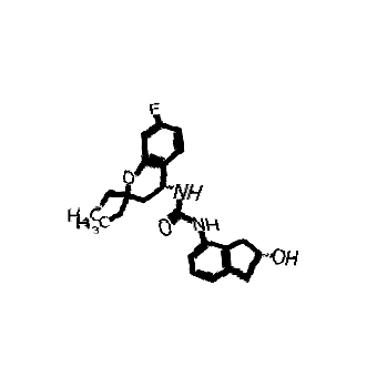 CCC1(CC)C[C@@H](NC(=O)Nc2cccc3c2C[C@H](O)C3)c2ccc(F)cc2O1